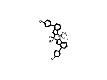 CC(C)[Si]1(C(C)C)C2=Cc3c(-c4ccc(Cl)cc4)cccc3[CH]2[Hf]([CH3])([CH3])[CH]2C1=Cc1c(-c3ccc(Cl)cc3)cccc12